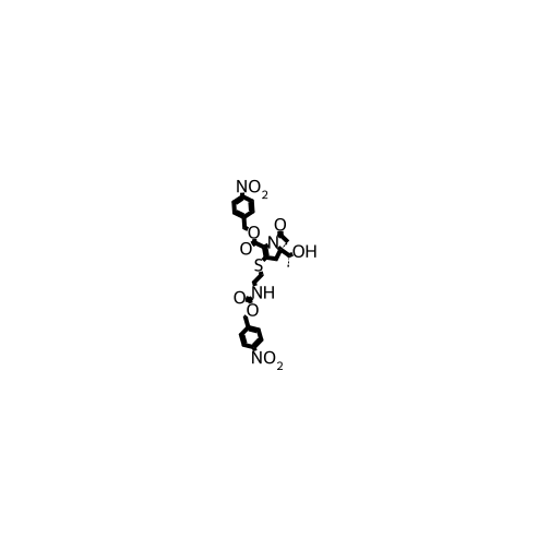 C[C@@H](O)[C@]12CC(=O)N1C(C(=O)OCc1ccc([N+](=O)[O-])cc1)=C(SCCNC(=O)OCc1ccc([N+](=O)[O-])cc1)C2